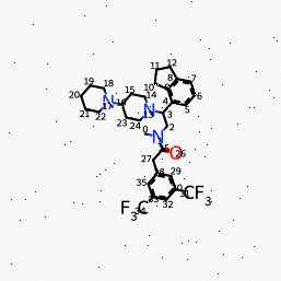 CN(CC(c1cccc2c1CCC2)N1CCC(N2CCCCC2)CC1)C(=O)Cc1cc(C(F)(F)F)cc(C(F)(F)F)c1